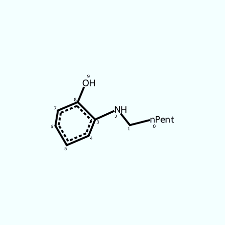 CCCCCCNc1ccccc1O